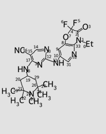 CCN1C(=O)C(F)(F)Oc2cc(Nc3ncc(C#N)c(NC4CC(C)(C)N(C)C(C)(C)C4)n3)cnc21